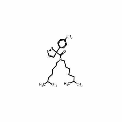 Cc1ccc(C2(C(=O)N(CCCCCC(C)C)CCCCCC(C)C)C=NN=N2)cc1